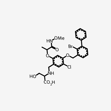 CONC(=O)C(C)Oc1cc(OCc2cccc(-c3ccccc3)c2Br)c(Cl)cc1CNC(CO)C(=O)O